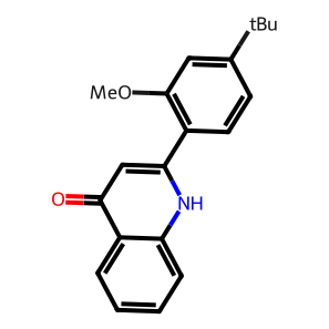 COc1cc(C(C)(C)C)ccc1-c1cc(=O)c2ccccc2[nH]1